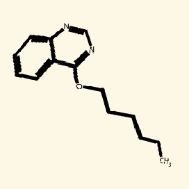 CCCCCCOc1ncnc2ccccc12